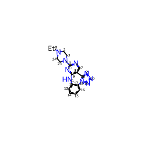 CCN1CCN(c2ncc3c(n2)Nc2ccccc2-n2nnnc2-3)CC1